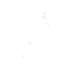 Fc1ccc(F)c(CN2CCC(OCc3c[nH]cn3)CC2)c1